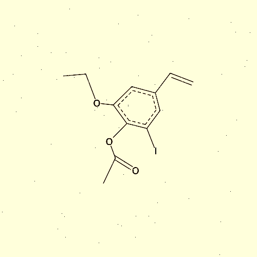 C=Cc1cc(I)c(OC(C)=O)c(OCC)c1